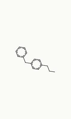 CCCc1ccc(Cc2ccccc2)cc1